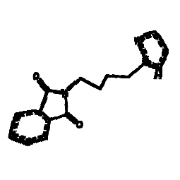 O=C1c2ccccc2C(=O)N1CCCCc1ncc[nH]1